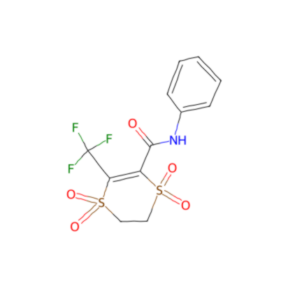 O=C(Nc1ccccc1)C1=C(C(F)(F)F)S(=O)(=O)CCS1(=O)=O